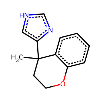 CC1(c2c[nH]cn2)CCOc2ccccc21